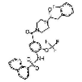 O=C(Cc1ccccc1F)N1CCN(C(=O)c2ccc(NS(=O)(=O)c3cccc4cccnc34)c(OC(F)(F)F)c2)CC1